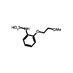 COCCOc1ccccc1NS(=O)(=O)O